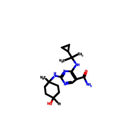 CCC1(O)CCC(C)(Nc2ncc(C(N)=O)c(NC(C)(C)C3CC3)n2)CC1